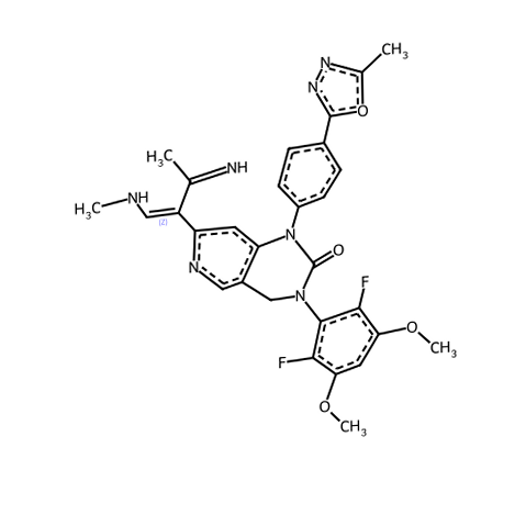 CN/C=C(\C(C)=N)c1cc2c(cn1)CN(c1c(F)c(OC)cc(OC)c1F)C(=O)N2c1ccc(-c2nnc(C)o2)cc1